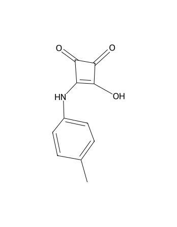 Cc1ccc(Nc2c(O)c(=O)c2=O)cc1